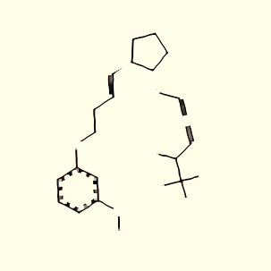 CCOc1cccc(OCC/C=C/[C@H]2CCC[C@@H]2CC=C=CC(O)C(O)(O)C(=O)O)c1